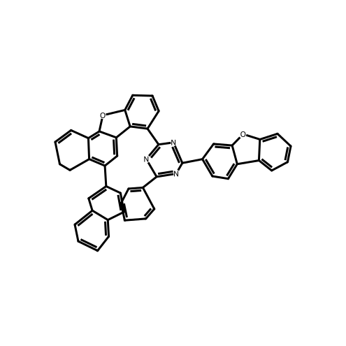 C1=Cc2c(c(-c3ccc4ccccc4c3)cc3c2oc2cccc(-c4nc(-c5ccccc5)nc(-c5ccc6c(c5)oc5ccccc56)n4)c23)CC1